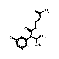 CC(C)N(C(=O)CCOC(N)=O)c1cccc(Cl)c1